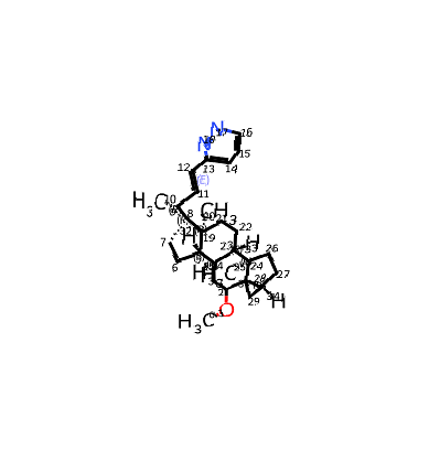 COC1C[C@H]2[C@@H]3CC[C@H]([C@H](C)/C=C/c4cccnn4)[C@@]3(C)CC[C@@H]2[C@@]2(C)CC[C@@H]3CC132